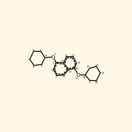 c1cc(OC2CCCCC2)c2cccc(OC3CCCCC3)c2c1